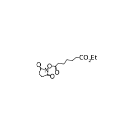 CCOC(=O)CCCCCC(=O)ON1C(=O)CCC1=O